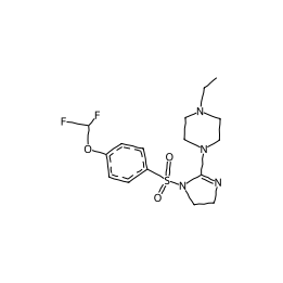 CCN1CCN(C2=NCCN2S(=O)(=O)c2ccc(OC(F)F)cc2)CC1